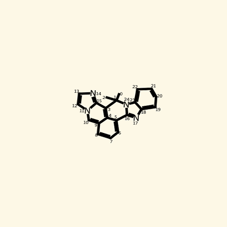 CC1(C)c2c3c(cccc3cn3ccnc23)-c2nc3ccccc3n21